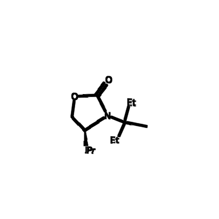 CCC(C)(CC)N1C(=O)OC[C@@H]1C(C)C